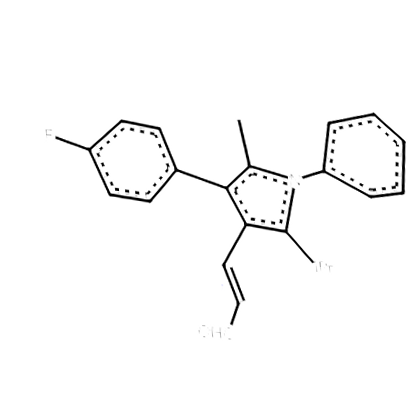 Cc1c(-c2ccc(F)cc2)c(/C=C/C=O)c(C(C)C)n1-c1ccccc1